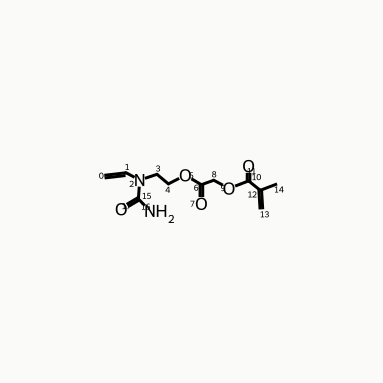 C=CN(CCOC(=O)COC(=O)C(=C)C)C(N)=O